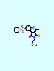 CC(=O)OCCN1C(=O)c2c(C)nc3ccc(S(=O)(=O)N4CCCCC4)cc3c2C1=O